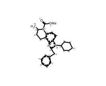 COC(=O)N1c2ccc3c(nc(Cc4ccccc4)n3C3CCCCC3)c2CCC1C